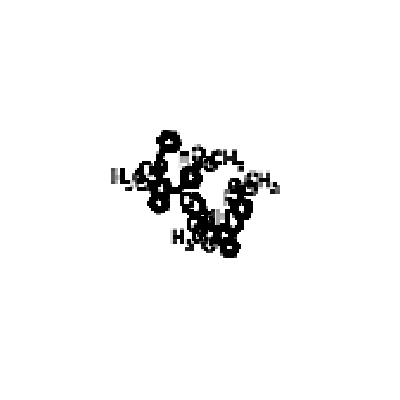 COC(=O)c1ccc(Cc2cc(C(=O)N[C@H]3CCOC[C@@H]3O)c(OC)c3c2CCC3)cc1F.COC(=O)c1ccc(Cc2cc(C(=O)OCc3ccccc3)c(OC)c3c2CCC3)cc1F